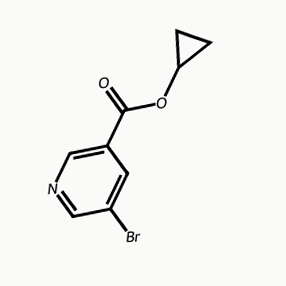 O=C(OC1CC1)c1cncc(Br)c1